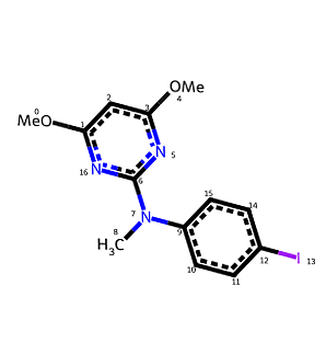 COc1cc(OC)nc(N(C)c2ccc(I)cc2)n1